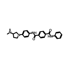 CN(C)C1CCN(c2ccc(NC(=O)c3ccc(C(=O)Nc4ccccc4)cc3)cc2)C1